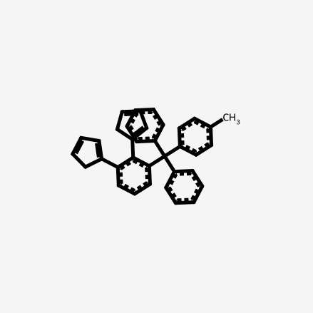 Cc1ccc(C(c2ccccc2)(c2ccccc2)c2cccc(C3=CC=CC3)c2C2=CC=CC2)cc1